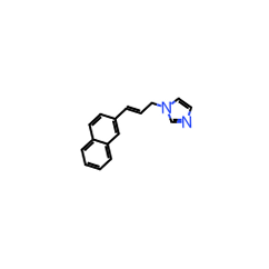 C(=Cc1ccc2ccccc2c1)Cn1ccnc1